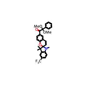 COC(OC)(C(=O)c1ccc2c(c1)C=CC1(O2)N(C)c2ccc(C(F)(F)F)cc2C1(C)C)c1ccccc1